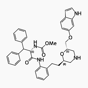 COC(=O)N[C@H](C(=O)Nc1ccccc1CC[C@@H]1CNC[C@@H](COc2ccc3cc[nH]c3c2)O1)C(c1ccccc1)c1ccccc1